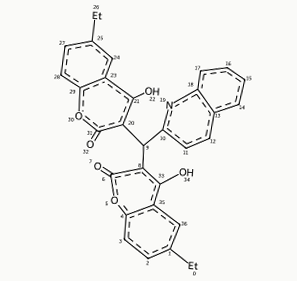 CCc1ccc2oc(=O)c(C(c3ccc4ccccc4n3)c3c(O)c4cc(CC)ccc4oc3=O)c(O)c2c1